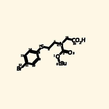 CC(C)(C)OC(=O)N(CCSc1ccc(Br)cc1)CC(=O)O